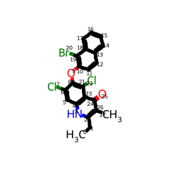 CCc1[nH]c2cc(Cl)c(Oc3ccc4ccccc4c3Br)c(Cl)c2c(=O)c1C